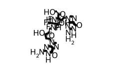 Nc1nc2c(ncn2[C@@H]2O[C@H](CO)C(NC(NC[C@H]3O[C@@H](n4cnc5c(=O)[nH]c(N)nc54)C[C@@H]3O)(C(F)(F)F)C(F)(F)F)[C@H]2O)c(=O)[nH]1